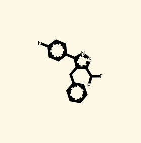 Fc1ccc(-c2nsc(C(F)F)c2Cc2ccccc2)cc1